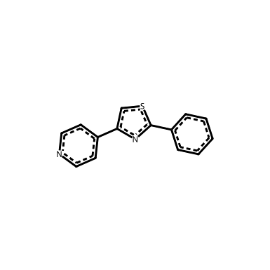 c1ccc(-c2nc(-c3ccncc3)cs2)cc1